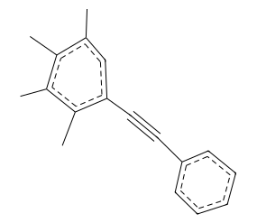 Cc1cc(C#Cc2ccccc2)c(C)c(C)c1C